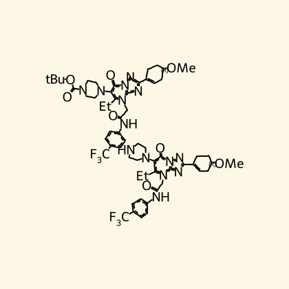 CCc1c(N2CCN(C(=O)OC(C)(C)C)CC2)c(=O)n2nc(C3=CC[C@H](OC)CC3)nc2n1CC(=O)Nc1ccc(C(F)(F)F)cc1.CCc1c(N2CCNCC2)c(=O)n2nc(C3=CC[C@H](OC)CC3)nc2n1CC(=O)Nc1ccc(C(F)(F)F)cc1